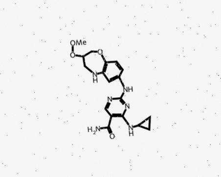 COOC1CNc2cc(Nc3ncc(C(N)=O)c(NC4CC4)n3)ccc2OC1